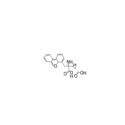 N[C@](CC1=CC=CC2=c3ccccc3=COC12)(C(=O)O)[C@H]1C[C@@H]1C(=O)O